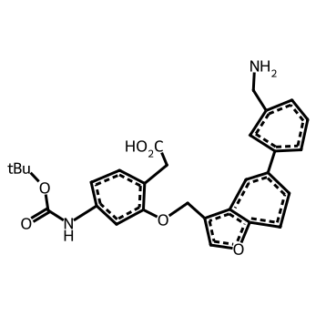 CC(C)(C)OC(=O)Nc1ccc(CC(=O)O)c(OCc2coc3ccc(-c4cccc(CN)c4)cc23)c1